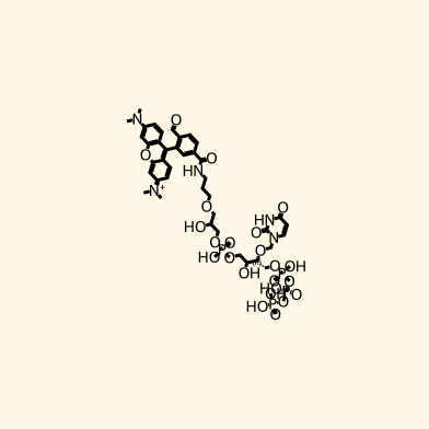 CN(C)c1ccc2c(-c3cc(C(=O)NCCCOCC(O)COP(=O)(O)OCC(O)[C@@H](COP(=O)(O)OP(=O)(O)OP(=O)(O)O)OCn4ccc(=O)[nH]c4=O)ccc3C=O)c3ccc(=[N+](C)C)cc-3oc2c1